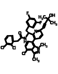 Cc1nn(C)c2c(-c3ccc(C#CC(C)(C)O)nc3[C@H](Cc3cc(F)cc(F)c3)NC(=O)Cc3cccc(Cl)c3Cl)ccc(Cl)c12